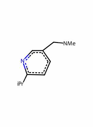 CNCc1ccc(C(C)C)nc1